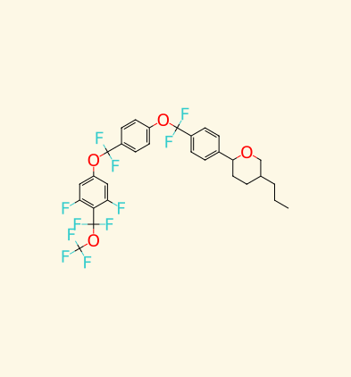 CCCC1CCC(c2ccc(C(F)(F)Oc3ccc(C(F)(F)Oc4cc(F)c(C(F)(F)OC(F)(F)F)c(F)c4)cc3)cc2)OC1